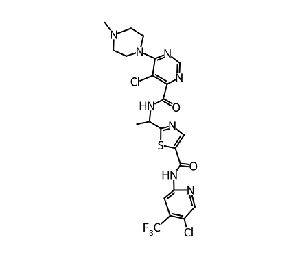 CC(NC(=O)c1ncnc(N2CCN(C)CC2)c1Cl)c1ncc(C(=O)Nc2cc(C(F)(F)F)c(Cl)cn2)s1